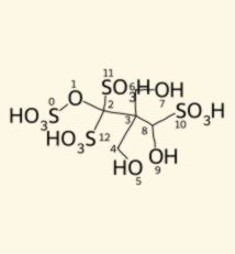 O=S(=O)(O)OC(C(CO)(CO)C(O)S(=O)(=O)O)(S(=O)(=O)O)S(=O)(=O)O